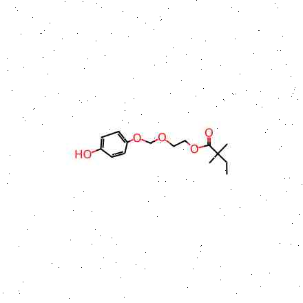 CCC(C)(C)C(=O)OCCOCOc1ccc(O)cc1